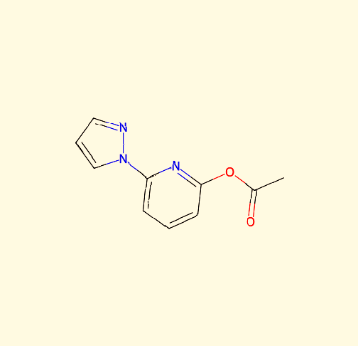 CC(=O)Oc1cccc(-n2cccn2)n1